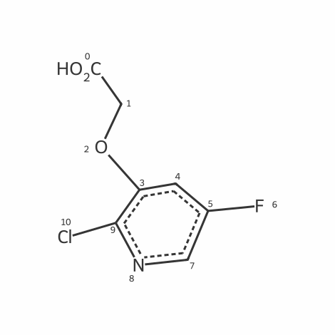 O=C(O)COc1cc(F)cnc1Cl